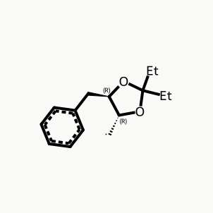 [CH2][C@H]1OC(CC)(CC)O[C@@H]1Cc1ccccc1